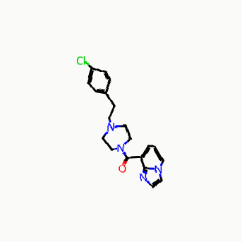 O=C(c1cccn2ccnc12)N1CCN(CCc2ccc(Cl)cc2)CC1